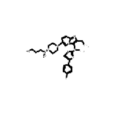 CCc1nc2ccc(N3CCN([S+]([O-])CCCO)CC3)cn2c1N(C)c1nc(-c2ccc(F)cc2)cs1